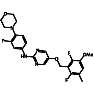 COc1cc(C)c(F)c(COc2cnc(Nc3ccc(N4CCOCC4)c(F)c3)nc2)c1F